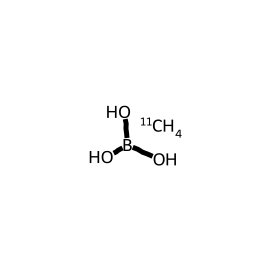 OB(O)O.[11CH4]